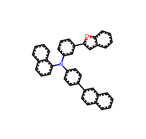 c1cc(-c2cc3ccccc3o2)cc(N(c2ccc(-c3ccc4ccccc4c3)cc2)c2cccc3ccccc23)c1